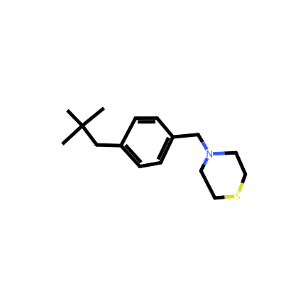 CC(C)(C)Cc1ccc(CN2CCSCC2)cc1